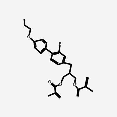 C=C(C)C(=C)OCC(COC(=O)C(=C)C)Cc1ccc(-c2ccc(OCCC)cc2)c(F)c1